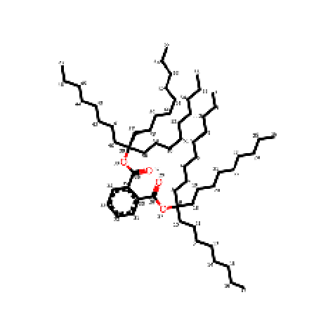 CCCCCCCCCC(CCCCCCCC)(CCCCCCCCC)OC(=O)c1ccccc1C(=O)OC(CCCCCCCC)(CCCCCCCCC)CCCCCCCCC